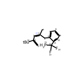 C=C(/C=C(/C)Cc1ccccc1C(F)(F)P)C(C)(C)C